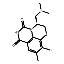 Cc1cc2c(=O)[nH]c(=O)n3c2c(c1Cl)SC[C@@H]3CN(C)C